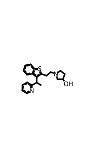 CC(c1ccccn1)c1c(CCN2CCC(O)C2)sc2ccccc12